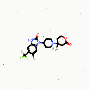 CC1(N2CCC(n3c(=O)[nH]c4cc(C(F)(F)F)c(Br)cc43)CC2)CCOC(=O)C1